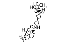 CCC1=C(OC)C2C(C)=C(C(=O)Nc3ccc(-c4ccc(S(=O)(=O)N[C@H](C(=O)O)C(C)C)cc4)cc3)OC2C=C1